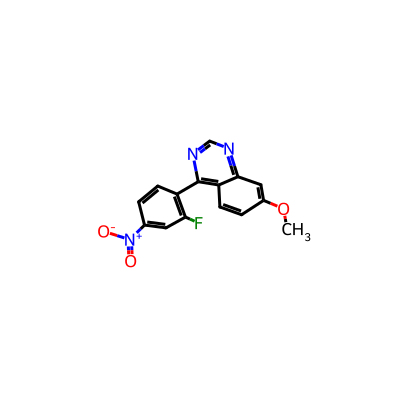 COc1ccc2c(-c3ccc([N+](=O)[O-])cc3F)ncnc2c1